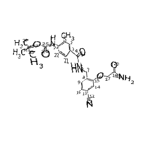 Cc1cc(C(=O)NCc2ccc(C#N)cc2OCC(N)=O)ccc1NC(=O)OC(C)(C)C